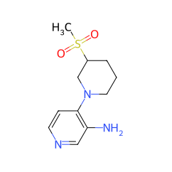 CS(=O)(=O)C1CCCN(c2ccncc2N)C1